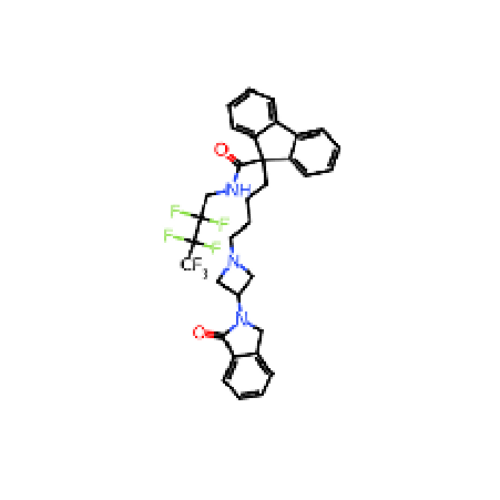 O=C1c2ccccc2CN1C1CN(CCCCC2(C(=O)NCC(F)(F)C(F)(F)C(F)(F)F)c3ccccc3-c3ccccc32)C1